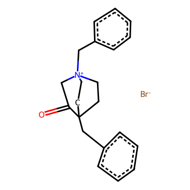 O=C1C[N+]2(Cc3ccccc3)CCC1(Cc1ccccc1)CC2.[Br-]